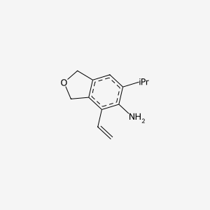 C=Cc1c(N)c(C(C)C)cc2c1COC2